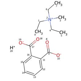 CC[N+](C)(CC)CC.O=C([O-])c1ccccc1C(=O)[O-].[H+]